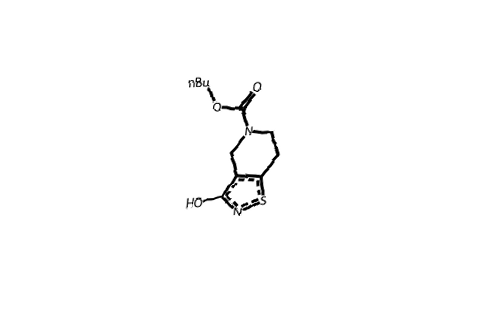 CCCCOC(=O)N1CCc2snc(O)c2C1